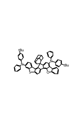 CC(C)(C)c1ccc(N(c2ccccc2)c2ccc3c(c2)sc2ccc4c(c23)C2(c3cc(N(c5ccccc5)c5ccc(C(C)(C)C)cc5)c5c(oc6ccccc65)c3-4)C3CC4CC(C3)CC2C4)cc1